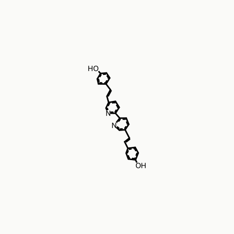 Oc1ccc(C=Cc2ccc(-c3ccc(C=Cc4ccc(O)cc4)cn3)nc2)cc1